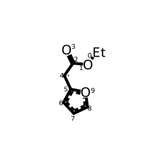 CCOC(=O)[CH]c1ccco1